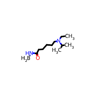 BNC(=O)CCCCCN(CC)C(C)C